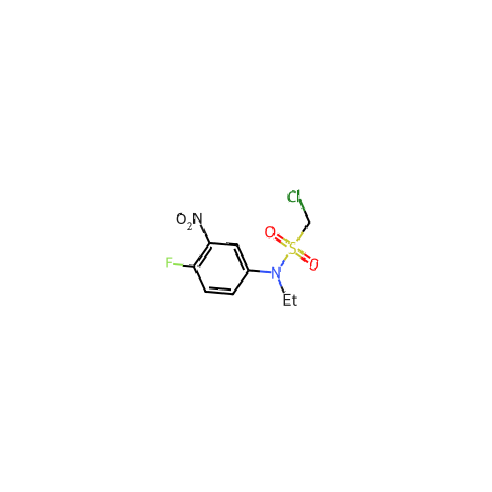 CCN(c1ccc(F)c([N+](=O)[O-])c1)S(=O)(=O)CCl